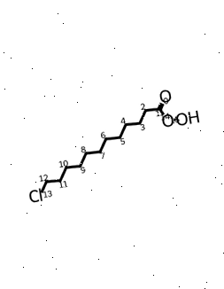 O=C(CCCCCCCCCCCCl)OO